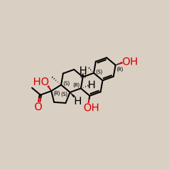 CC(=O)[C@@]1(O)CC[C@H]2[C@@H]3C(O)=CC4=C[C@H](O)C=C[C@]4(C)[C@H]3CC[C@@]21C